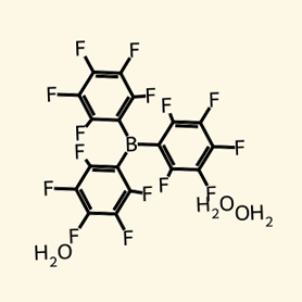 Fc1c(F)c(F)c(B(c2c(F)c(F)c(F)c(F)c2F)c2c(F)c(F)c(F)c(F)c2F)c(F)c1F.O.O.O